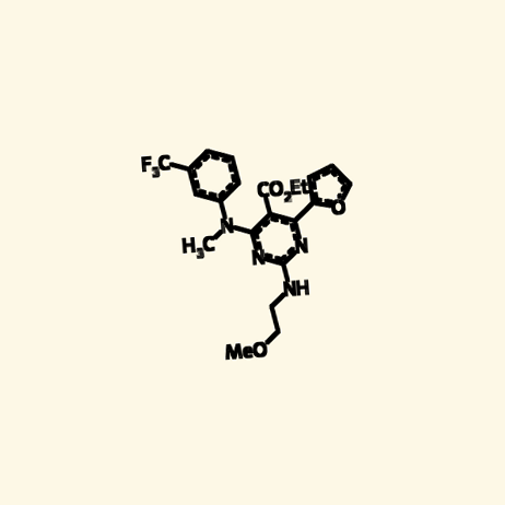 CCOC(=O)c1c(-c2ccco2)nc(NCCOC)nc1N(C)c1cccc(C(F)(F)F)c1